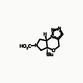 CC(C)(C)[C@]12CN(C(=O)O)C[C@@H]1n1nncc1CO2